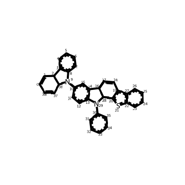 C1=CC2c3ccccc3N(c3ccc4c(c3)C3C=Cc5c(sc6ccccc56)C3N4c3ccccc3)C2C=C1